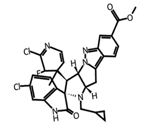 COC(=O)c1ccc2c3n(nc2c1)[C@H]1[C@H](C2(C)C=CN=C(Cl)C2F)[C@]2(C(=O)Nc4cc(Cl)ccc42)N(CC2CC2)[C@H]1C3